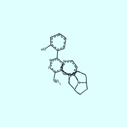 Nc1nnc(-c2ccccc2O)cc1N1CCC2CCC(C1)N2c1ccncc1